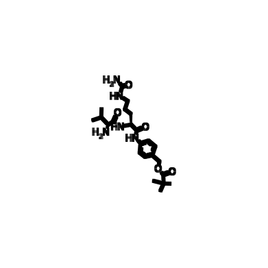 CC(C)[C@H](N)C(=O)N[C@@H](CCCNC(N)=O)C(=O)Nc1ccc(COC(=O)C(C)(C)C)cc1